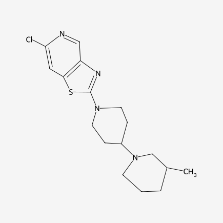 CC1CCCN(C2CCN(c3nc4cnc(Cl)cc4s3)CC2)C1